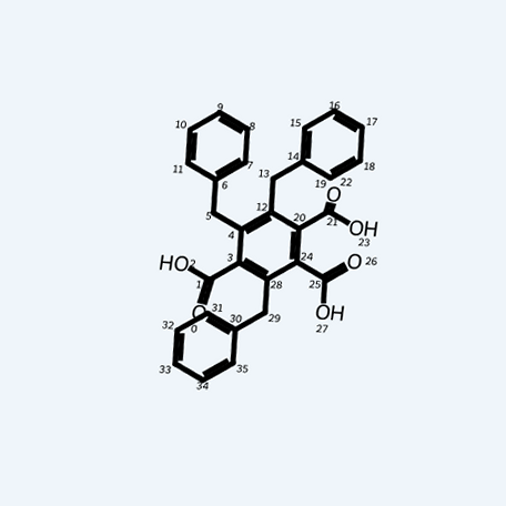 O=C(O)c1c(Cc2ccccc2)c(Cc2ccccc2)c(C(=O)O)c(C(=O)O)c1Cc1ccccc1